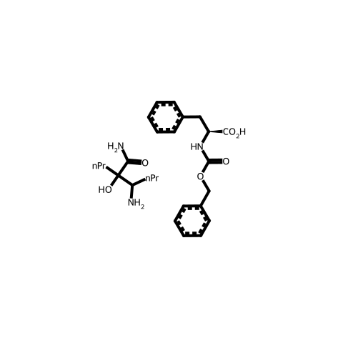 CCCC(N)C(O)(CCC)C(N)=O.O=C(N[C@@H](Cc1ccccc1)C(=O)O)OCc1ccccc1